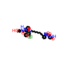 CN1[C@@H](C(=O)N[C@H]2C[C@@](C)(O)C2)[C@H](c2cccc(Cl)c2F)[C@]2(C(=O)N(CCCCCCCC#Cc3cccc4c3n(C)c(=O)n4C3CCC(=O)NC3=O)c3cc(Cl)ccc32)C12CCCCC2